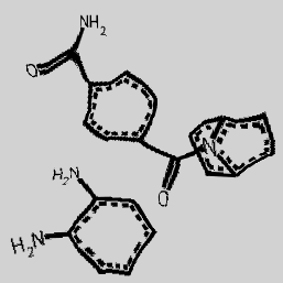 NC(=O)c1ccc(C(=O)n2c3ccc2cc3)cc1.Nc1ccccc1N